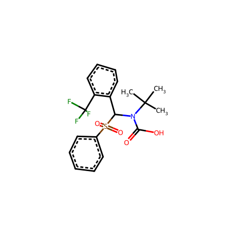 CC(C)(C)N(C(=O)O)C(c1ccccc1C(F)(F)F)S(=O)(=O)c1ccccc1